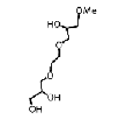 COCC(O)COCCOCC(O)CO